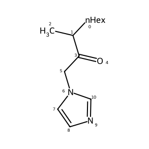 CCCCCCC(C)C(=O)Cn1ccnc1